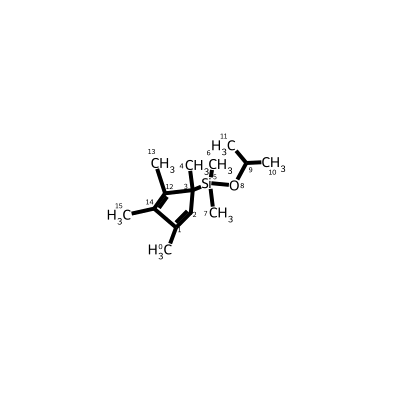 CC1=CC(C)([Si](C)(C)OC(C)C)C(C)=C1C